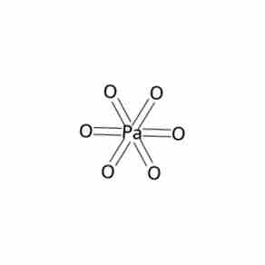 [O]=[Pa](=[O])(=[O])(=[O])(=[O])=[O]